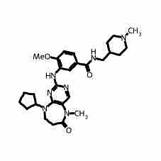 COc1ccc(C(=O)NCC2CCN(C)CC2)cc1Nc1ncc2c(n1)N(C1CCCC1)CCC(=O)N2C